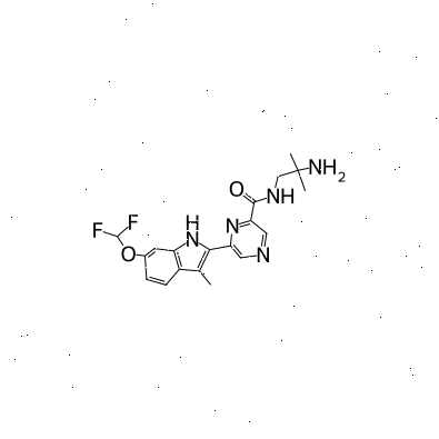 Cc1c(-c2cncc(C(=O)NCC(C)(C)N)n2)[nH]c2cc(OC(F)F)ccc12